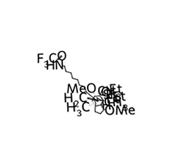 C=C1[C@H](C)[C@@]23CC[C@@H](C)[C@](C)([C@@H]2[C@H](OC)CC3)[C@H](O[Si](CC)(CC)CC)C[C@@]1(CCCCCCCCNC(=O)C(F)(F)F)OC